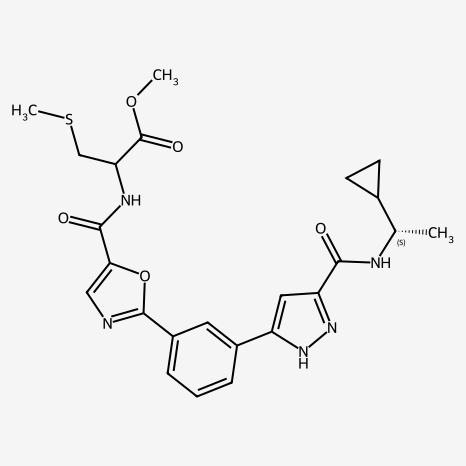 COC(=O)C(CSC)NC(=O)c1cnc(-c2cccc(-c3cc(C(=O)N[C@@H](C)C4CC4)n[nH]3)c2)o1